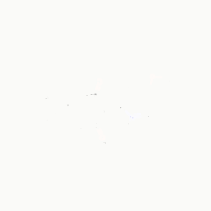 COc1cc(C)nc(C2C(=O)CC(C(C)C)CC2=O)c1